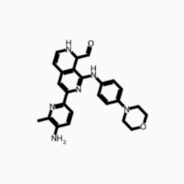 Cc1nc(-c2cc3c(c(Nc4ccc(N5CCOCC5)cc4)n2)C(C=O)NC=C3)ccc1N